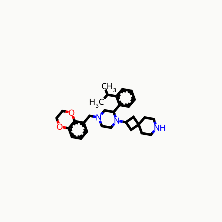 CC(C)c1ccccc1C1CN(Cc2cccc3c2OCCO3)CCN1C1CC2(CCNCC2)C1